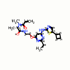 C=CC(=O)N(C)[C@@H](C)C(=O)NCCOc1cc(Nc2ncc(C3CCC3)s2)nc(CC)n1